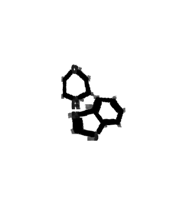 C1COCCN1.c1ccc2scnc2c1